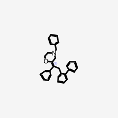 c1ccc(CN2CCO/C(=C(/Cc3ccccc3-c3ccccc3)c3ccccc3)C2)cc1